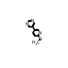 COc1ccc(-c2cncnc2)cn1